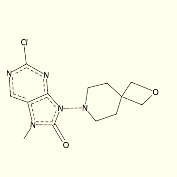 Cn1c(=O)n(N2CCC3(CC2)COC3)c2nc(Cl)ncc21